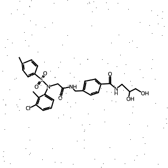 Cc1ccc(S(=O)(=O)N(CC(=O)NCc2ccc(C(=O)NCC(O)CO)cc2)c2cccc(Cl)c2C)cc1